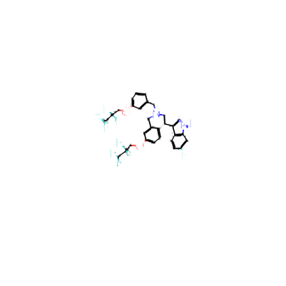 Fc1ccc2c(CCN(Cc3cccc(OCC(F)(F)C(F)F)c3)Cc3cccc(OCC(F)(F)C(F)F)c3)c[nH]c2c1